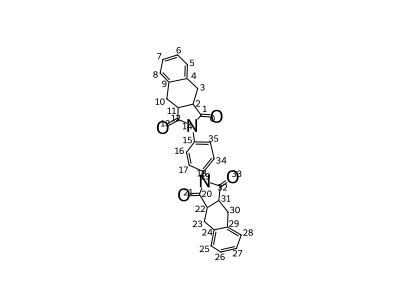 O=C1C2Cc3ccccc3CC2C(=O)N1c1ccc(N2C(=O)C3Cc4ccccc4CC3C2=O)cc1